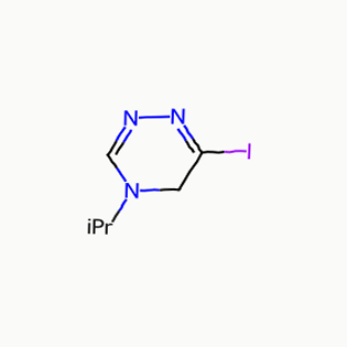 CC(C)N1C=NN=C(I)C1